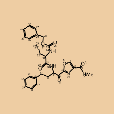 CNC(=O)c1coc(C(=O)C(CCc2ccccc2)NC(=O)C(CC(C)C)NC(=O)OCc2ccccc2)n1